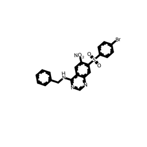 O=[N+]([O-])c1cc2c(NCc3ccccc3)ncnc2cc1S(=O)(=O)c1ccc(Br)cc1